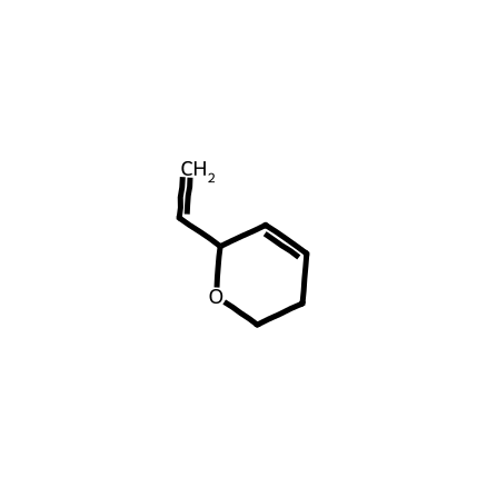 C=CC1C=CCCO1